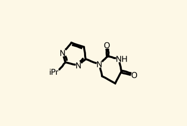 CC(C)c1nccc(N2CCC(=O)NC2=O)n1